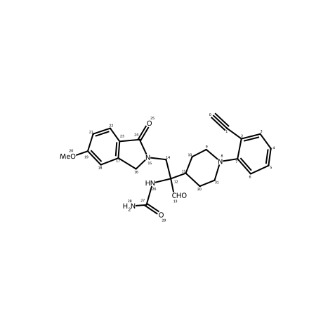 C#Cc1ccccc1N1CCC(C(C=O)(CN2Cc3cc(OC)ccc3C2=O)NC(N)=O)CC1